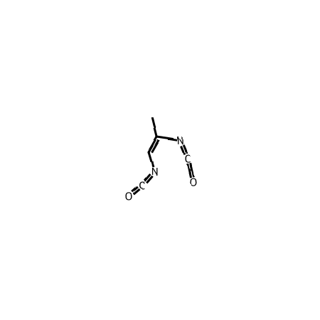 CC(=CN=C=O)N=C=O